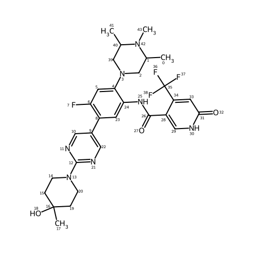 CC1CN(c2cc(F)c(-c3cnc(N4CCC(C)(O)CC4)nc3)cc2NC(=O)c2c[nH]c(=O)cc2C(F)(F)F)CC(C)N1C